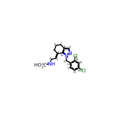 O=C(O)NCC=C1CCCc2cnn(Cc3ccc(Cl)cc3Cl)c21